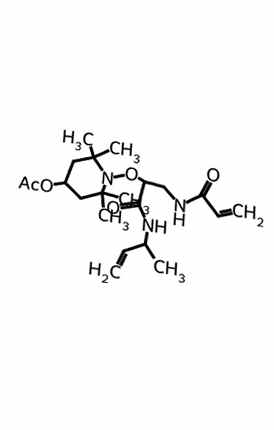 C=CC(=O)NCC(ON1C(C)(C)CC(OC(C)=O)CC1(C)C)C(=O)NC(C)C=C